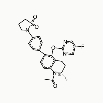 CC(=O)N1c2ccc(-c3ccc(N4CCCS4(=O)=O)cc3)c(Oc3ncc(F)cn3)c2CC[C@@H]1C